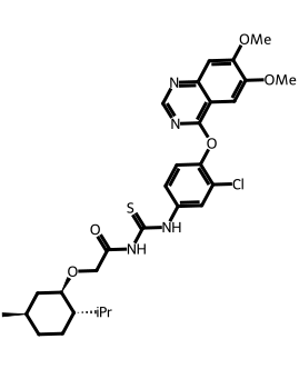 COc1cc2ncnc(Oc3ccc(NC(=S)NC(=O)CO[C@@H]4C[C@H](C)CC[C@H]4C(C)C)cc3Cl)c2cc1OC